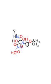 CC(C)Oc1cccc(-n2c(O)c(C(=O)NCCC3CC3)c(O)c(C(=O)NCC(=O)O)c2=O)c1